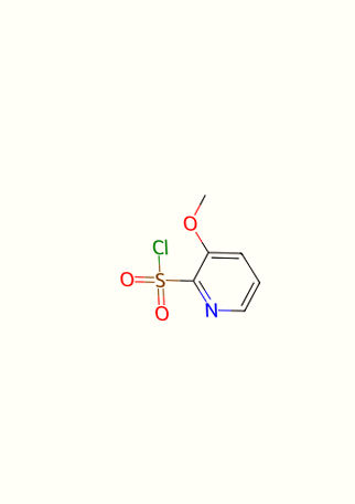 COc1cccnc1S(=O)(=O)Cl